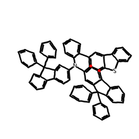 c1ccc(C2(c3ccccc3)c3ccccc3-c3ccc(N(c4ccc5c(c4)C(c4ccccc4)(c4ccccc4)c4ccccc4-5)c4ccccc4-c4ccc5sc6ccccc6c5c4)cc32)cc1